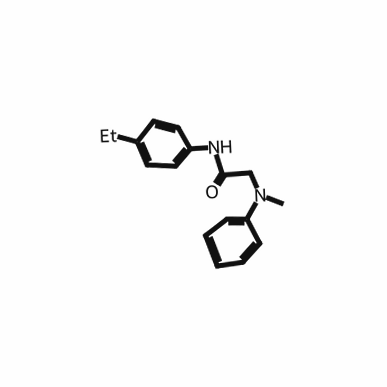 CCc1ccc(NC(=O)CN(C)c2ccccc2)cc1